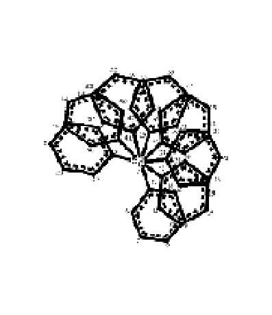 c1cc[c]([Pd]([c]2ccccc2)([c]2ccccc2)([c]2ccccc2)([c]2ccccc2)([c]2ccccc2)([c]2ccccc2)[c]2ccccc2)cc1